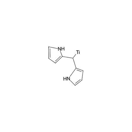 [Ti][CH](c1ccc[nH]1)c1ccc[nH]1